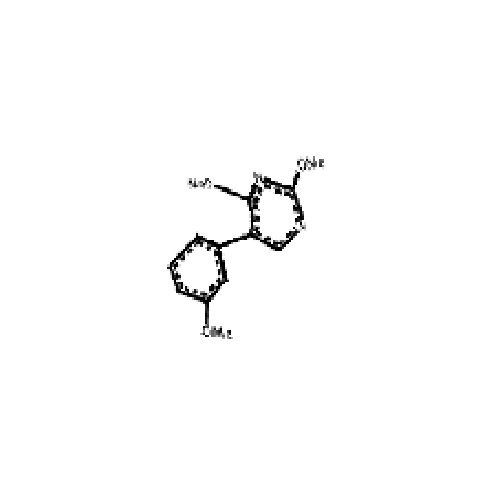 COc1cc[c]c(-c2cnc(OC)nc2OC)c1